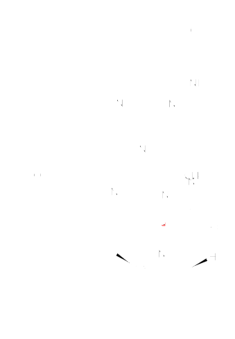 Cc1cc(Nc2cc(C3=CCCO3)nc(N(C)[C@H]3C[C@H]4CCC[C@@H](C3)N4CC(=O)N3CCCC3)n2)n[nH]1